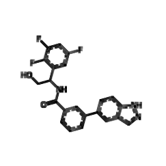 O=C(NC(CO)c1cc(F)cc(F)c1F)c1cccc(-c2ccc3[nH]ncc3c2)c1